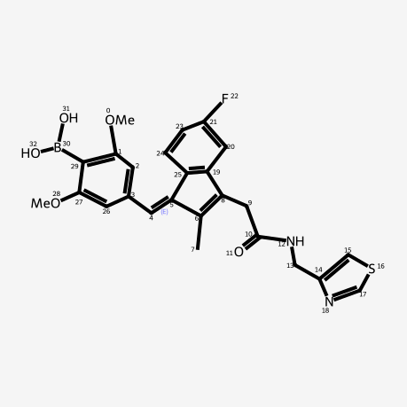 COc1cc(/C=C2/C(C)=C(CC(=O)NCc3cscn3)c3cc(F)ccc32)cc(OC)c1B(O)O